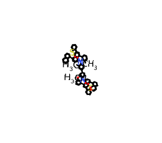 Cc1cc(-c2ccc(N(c3ccc(-c4cccc5ccccc45)cc3)c3c(C)cccc3-c3ccc4sc5ccccc5c4c3)c(C)c2)ccc1N(c1ccc(-c2cccc3ccccc23)cc1)c1c(C)cccc1-c1ccc2sc3ccccc3c2c1